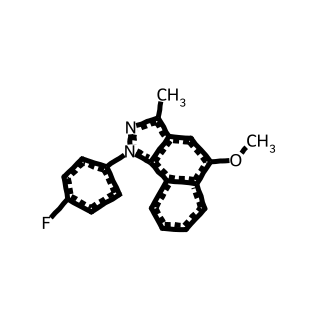 COc1cc2c(C)nn(-c3ccc(F)cc3)c2c2ccccc12